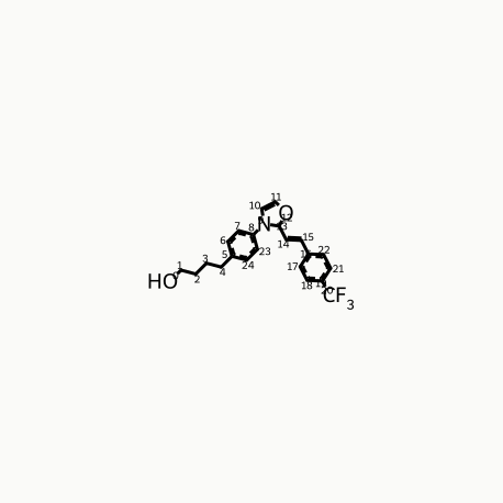 OCCCCc1ccc(N2C=COC2/C=C/c2ccc(C(F)(F)F)cc2)cc1